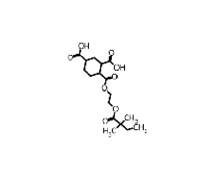 CCC(C)(C)C(=O)OCCOC(=O)C1CCC(C(=O)O)CC1C(=O)O